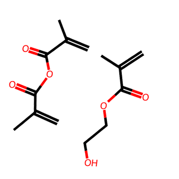 C=C(C)C(=O)OC(=O)C(=C)C.C=C(C)C(=O)OCCO